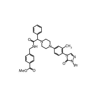 COC(=O)c1ccc(CNC(=O)C(c2ccccc2)N2CCN(c3ccc(-n4cnn(C(C)C)c4=O)c(C)c3)CC2)cc1